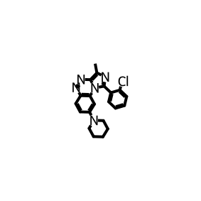 Cc1nc(-c2ccccc2Cl)n2c1nnc1ccc(N3CCCCC3)cc12